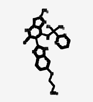 CCC([SiH3])(Nc1c(-c2nc3ccc(OCCOC)cc3[nH]2)c(=O)[nH]c2cn(C)nc12)c1ncccn1